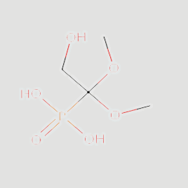 COC(CO)(OC)P(=O)(O)O